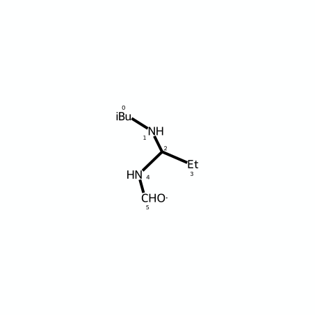 CCC(C)NC(CC)N[C]=O